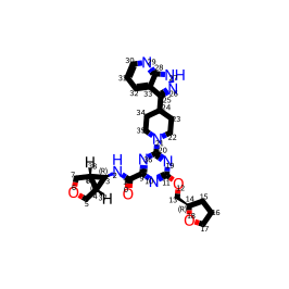 O=C(N[C@H]1[C@@H]2COC[C@@H]21)c1nc(OC[C@H]2CCCO2)nc(N2CCC(c3n[nH]c4ncccc34)CC2)n1